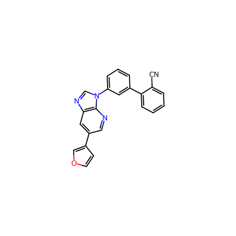 N#Cc1ccccc1-c1cccc(-n2cnc3cc(-c4ccoc4)cnc32)c1